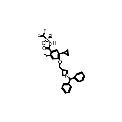 O=C(NS(=O)(=O)C(F)F)c1cc(C2CC2)c(OCC2CN(C(c3ccccc3)c3ccccc3)C2)cc1F